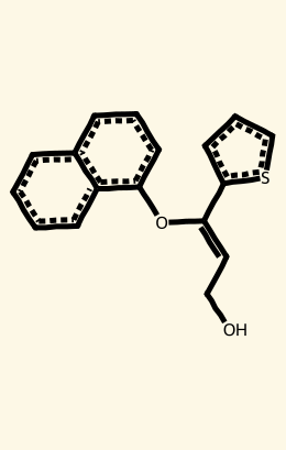 OC/C=C(\Oc1cccc2ccccc12)c1cccs1